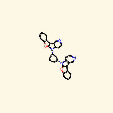 c1cc(-n2c3ccncc3c3c4ccccc4oc32)cc(-n2c3ccncc3c3c4ccccc4oc32)c1